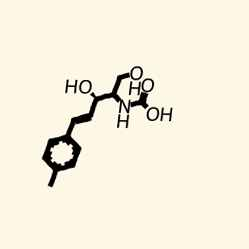 Cc1ccc(/C=C/[C@@H](O)C(CO)NC(=O)O)cc1